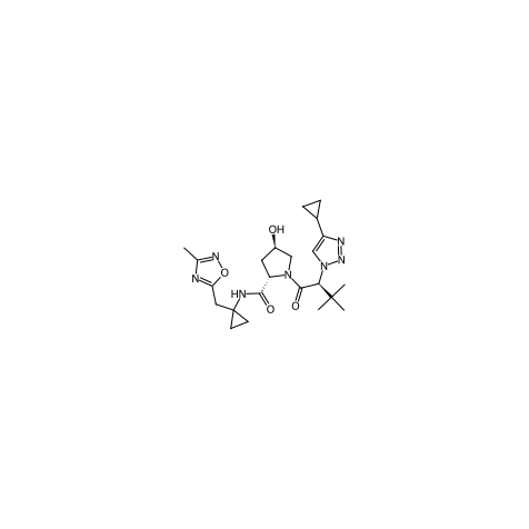 Cc1noc(CC2(NC(=O)[C@@H]3C[C@@H](O)CN3C(=O)[C@@H](n3cc(C4CC4)nn3)C(C)(C)C)CC2)n1